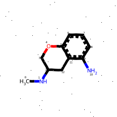 CNC1COc2cccc(N)c2C1